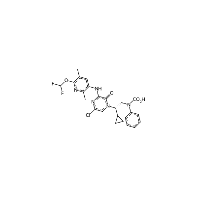 Cc1cc(Nc2nc(Cl)cn([C@H](CN(C(=O)O)c3ccccc3)C3CC3)c2=O)c(C)nc1OC(F)F